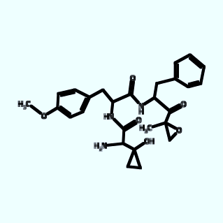 COc1ccc(CC(NC(=O)C(N)C2(O)CC2)C(=O)NC(Cc2ccccc2)C(=O)C2(C)CO2)cc1